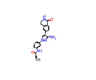 C#CC(=O)Nc1cccc(-n2cc(-c3ccc4c(c3)CCNC4=O)c(N)n2)c1